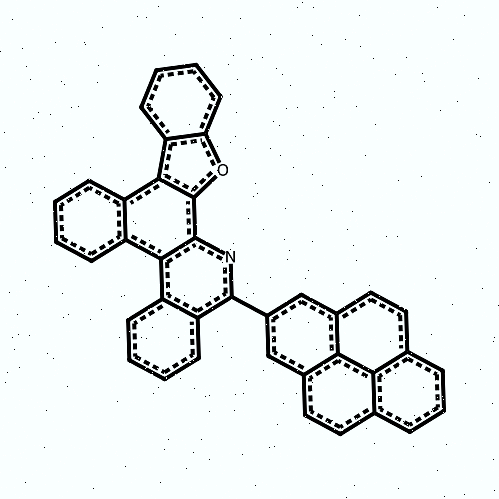 c1cc2ccc3cc(-c4nc5c6oc7ccccc7c6c6ccccc6c5c5ccccc45)cc4ccc(c1)c2c34